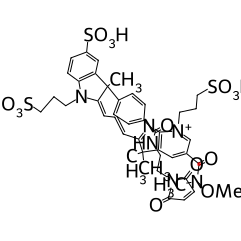 CON(C)C(=O)c1cc2c([n+](CCCS(=O)(=O)O)c1)N=C(/C=C/C=C1/N(CCCS(=O)(=O)O)c3ccc(S(=O)(=O)O)cc3C1(C)c1ccc(C(=O)NCCN3C(=O)C=CC3=O)cc1)C2(C)C